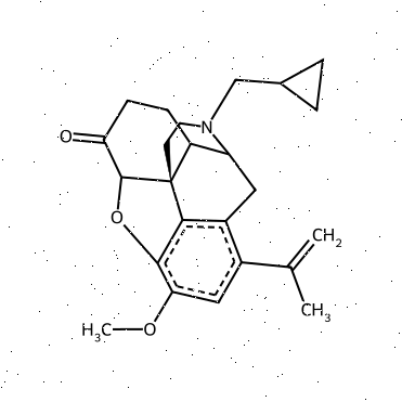 C=C(C)c1cc(OC)c2c3c1CC1C4CCC(=O)C(O2)[C@@]34CCN1CC1CC1